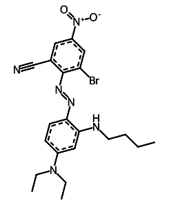 CCCCNc1cc(N(CC)CC)ccc1N=Nc1c(Br)cc([N+](=O)[O-])cc1C#N